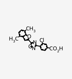 Cc1ccc(C)c2oc(-c3nc(-c4ccc(C(=O)O)cc4Cl)no3)cc12